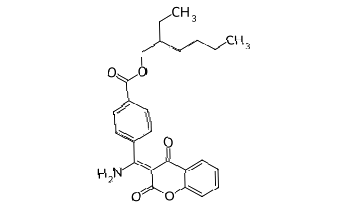 CCCCC(CC)COC(=O)c1ccc(/C(N)=C2/C(=O)Oc3ccccc3C2=O)cc1